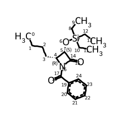 CCCC[C@@H]1[C@H](O[Si](CC)(CC)CC)C(=O)N1C(=O)c1ccccc1